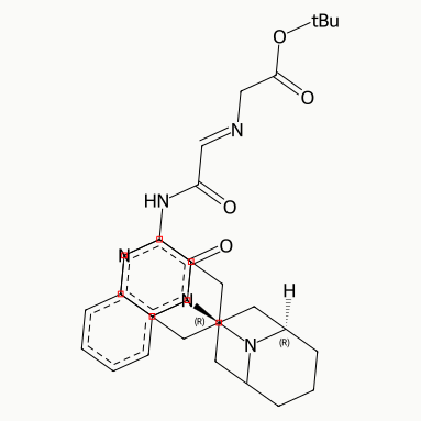 CC(C)(C)OC(=O)CN=CC(=O)Nc1nc2ccccc2n([C@@H]2CC3CCC[C@H](C2)N3C2CC3CCCC(C3)C2)c1=O